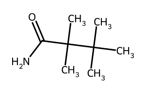 CC(C)(C)C(C)(C)C(N)=O